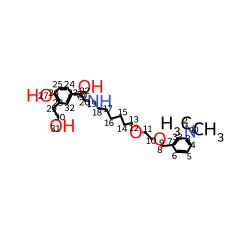 CN(C)c1cccc(COCCOCCCCCCNC[C@H](O)c2ccc(O)c(CCO)c2)c1